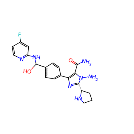 NC(=O)c1c(-c2ccc(C(O)Nc3cc(F)ccn3)cc2)nc([C@@H]2CCCN2)n1N